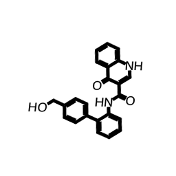 O=C(Nc1ccccc1-c1ccc(CO)cc1)c1c[nH]c2ccccc2c1=O